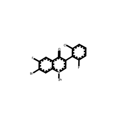 CC(C)n1cc(-c2c(F)cccc2Cl)c(=O)c2cc(F)c(Br)cc21